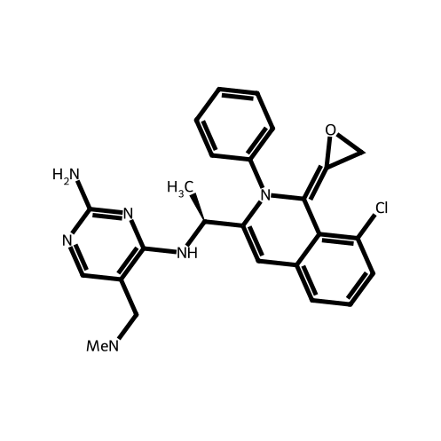 CNCc1cnc(N)nc1N[C@@H](C)C1=Cc2cccc(Cl)c2/C(=C2\CO2)N1c1ccccc1